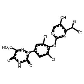 CCC(CC)c1nc(Oc2c(Cl)cc(-n3nc(C(=O)O)c(=O)[nH]c3=O)cc2Cl)ncc1O